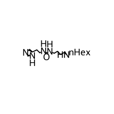 CCCCCCNCCCCNC(=O)NCCc1cnc[nH]1